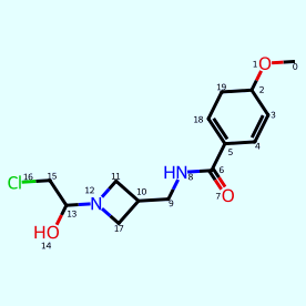 COC1C=CC(C(=O)NCC2CN(C(O)CCl)C2)=CC1